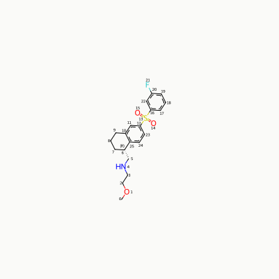 COCCNC[C@@H]1CCCc2cc(S(=O)(=O)c3cccc(F)c3)ccc21